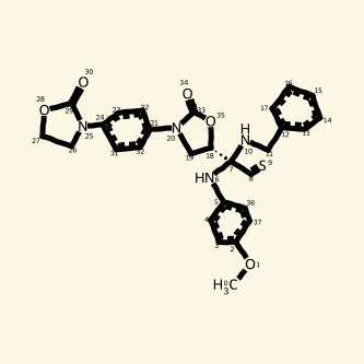 COc1ccc(NC(C=S)(NCc2ccccc2)[C@@H]2CN(c3ccc(N4CCOC4=O)cc3)C(=O)O2)cc1